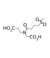 CS(=O)(=O)CCCC(=O)N(CCC(=O)O)CC(=O)O